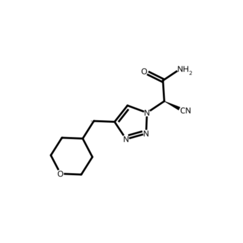 N#C[C@H](C(N)=O)n1cc([CH]C2CCOCC2)nn1